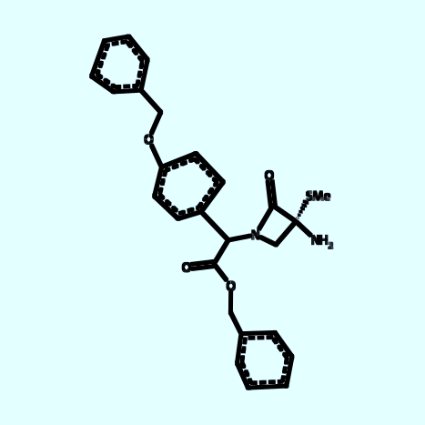 CS[C@]1(N)CN(C(C(=O)OCc2ccccc2)c2ccc(OCc3ccccc3)cc2)C1=O